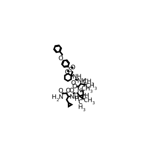 CC(C)(C)[C@H](NC(=O)NC1(CS(=O)(=O)c2ccc(OCc3ccccc3)cc2)CCCCC1)C(=O)N1C[C@H]2[C@@H]([C@H]1C(=O)NC(CC1CC1)C(=O)C(N)=O)C2(C)C